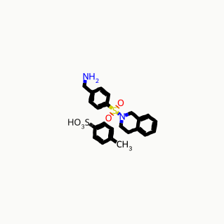 Cc1ccc(S(=O)(=O)O)cc1.NCc1ccc(S(=O)(=O)N2CCc3ccccc3C2)cc1